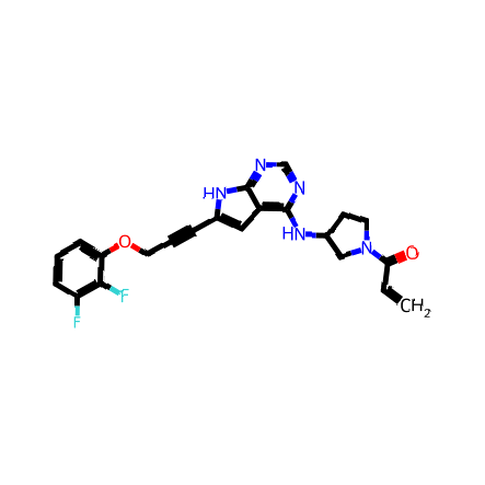 C=CC(=O)N1CCC(Nc2ncnc3[nH]c(C#CCOc4cccc(F)c4F)cc23)C1